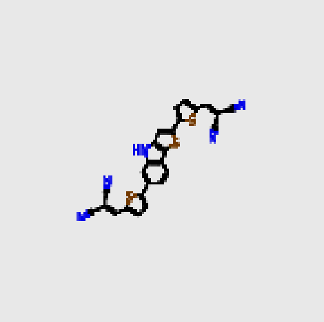 N#CC(C#N)=Cc1ccc(-c2ccc3c(c2)[nH]c2cc(-c4ccc(C=C(C#N)C#N)s4)sc23)s1